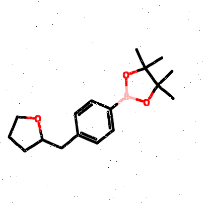 CC1(C)OB(c2ccc(CC3CCCO3)cc2)OC1(C)C